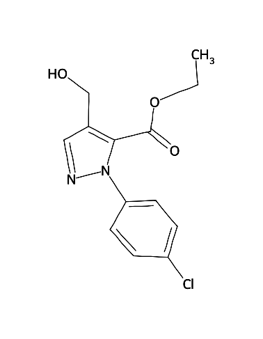 CCOC(=O)c1c(CO)cnn1-c1ccc(Cl)cc1